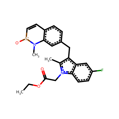 CCOC(=O)Cn1c(C)c(Cc2ccc3c(c2)N(C)[S+]([O-])C=C3)c2cc(F)ccc21